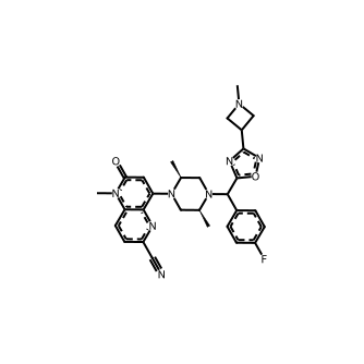 C[C@H]1CN(C(c2ccc(F)cc2)c2nc(C3CN(C)C3)no2)[C@@H](C)CN1c1cc(=O)n(C)c2ccc(C#N)nc12